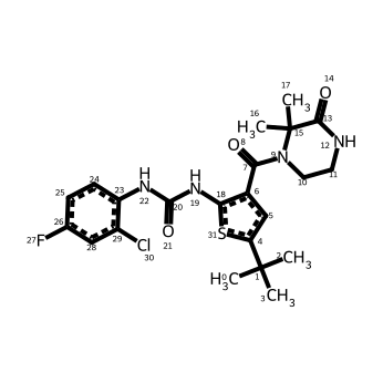 CC(C)(C)c1cc(C(=O)N2CCNC(=O)C2(C)C)c(NC(=O)Nc2ccc(F)cc2Cl)s1